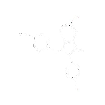 CNc1ccc(Cn2c(-c3ccc(O)cc3)c(C)c3cc(O)ccc32)cc1